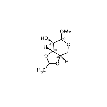 CO[C@H]1OC[C@@H]2OC(C)O[C@@H]2[C@H]1O